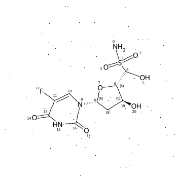 NS(=O)(=O)C(O)[C@H]1O[C@@H](n2cc(F)c(=O)[nH]c2=O)C[C@@H]1O